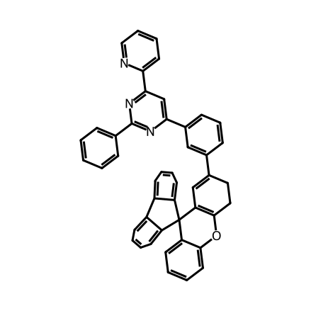 C1=C(c2cccc(-c3cc(-c4ccccn4)nc(-c4ccccc4)n3)c2)CCC2=C1C1(c3ccccc3O2)c2ccccc2-c2ccccc21